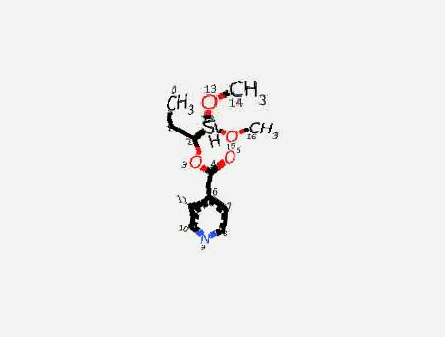 CCC(OC(=O)c1ccncc1)[SiH](OC)OC